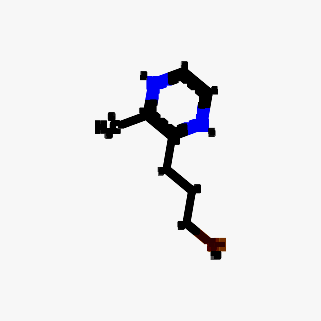 Cc1nccnc1CCCS